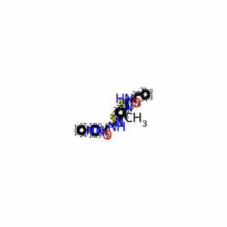 Cc1c2nc(NCC(=O)N3CCN(C4CCCC4)CC3)sc2cc2sc(NC(=O)CC3CCCC3)nc12